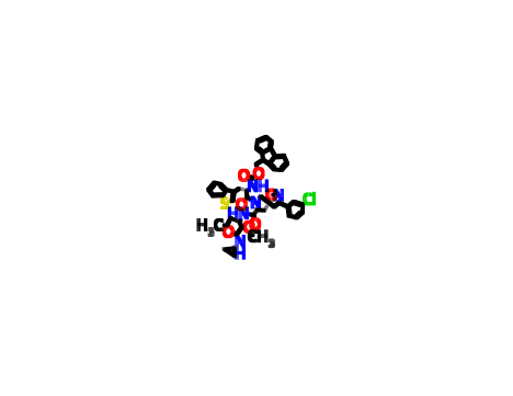 CCC[C@@H](NC(=O)[C@@H]1C[C@]2(CC(c3cccc(Cl)c3)=NO2)CN1C(=O)[C@H](Cc1csc2ccccc12)NC(=O)OCC1c2ccccc2-c2ccccc21)C(OC)C(=O)NC1CC1